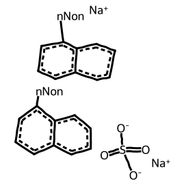 CCCCCCCCCc1cccc2ccccc12.CCCCCCCCCc1cccc2ccccc12.O=S(=O)([O-])[O-].[Na+].[Na+]